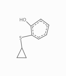 Oc1ccccc1SC1CC1